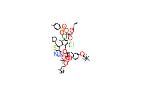 C=CCOC[C@H](COS(=O)(=O)c1ccc(C)cc1)Oc1c(Cl)c(C)c(-c2c(C3=CCCC3)sc3ncnc(O[C@H](Cc4cc(O[Si](C)(C)C(C)(C)C)ccc4OCOCC[Si](C)(C)C)C(=O)OC(C)(C)C)c23)c(C)c1Cl